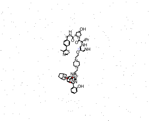 Cc1ncsc1-c1ccc([C@H](C)NC(=O)[C@@H]2C[C@@H](O)CN2C(=O)[C@H](N/C=C(\C=N)OCCN2CCN(CCOc3cc(N4C5CCC4CN(c4cc(-c6ccccc6O)nnc4N)C5)ccn3)CC2)C(C)C)cc1